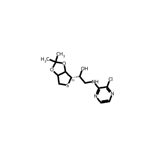 CC1(C)OC2CS[C@@H](C(O)CNc3nccnc3Cl)C2O1